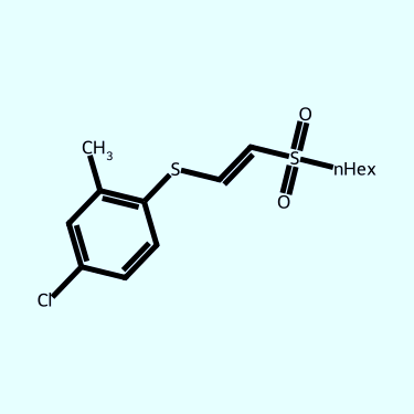 CCCCCCS(=O)(=O)C=CSc1ccc(Cl)cc1C